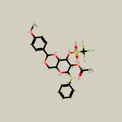 COc1ccc(C2OCC3OC(Sc4ccccc4)C(OC(C)=O)C(OS(=O)(=O)C(F)(F)F)C3O2)cc1